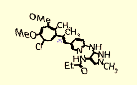 CCC(=O)NC1=CN(C)NC1Nc1ccc(/C=C(\C)C2=CC(Cl)C(OC)=CC(OC)=C2C)cn1